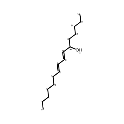 CCCCCCC=CC=CC(O)CCCCC